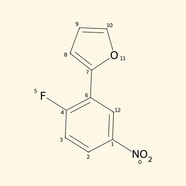 O=[N+]([O-])c1ccc(F)c(-c2ccco2)c1